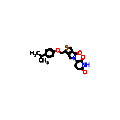 CC(C)c1ccc(OCc2scc3c2CN(C2CCC(=O)NC2=O)C3=O)cc1